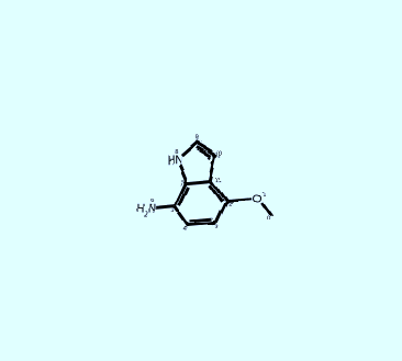 COc1ccc(N)c2[nH]ccc12